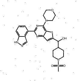 CS(=O)(=O)N1CCC(C(O)c2cc3nc(-c4cccc5[nH]ncc45)nc(N4CCOCC4)c3s2)CC1